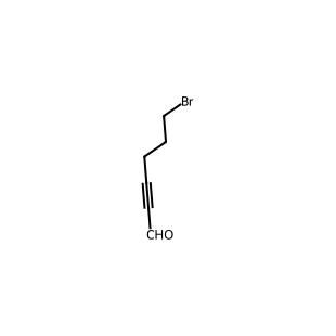 O=CC#CCCCBr